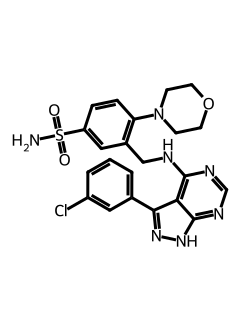 NS(=O)(=O)c1ccc(N2CCOCC2)c(CNc2ncnc3[nH]nc(-c4cccc(Cl)c4)c23)c1